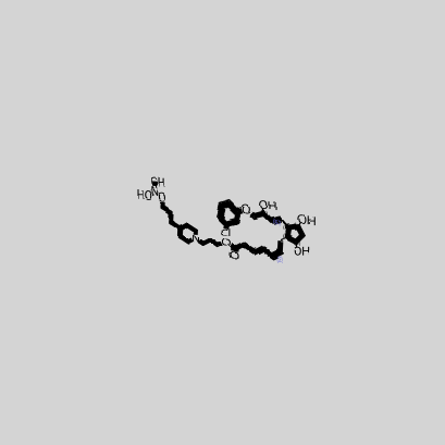 O=C(CCC/C=C\C[C@@H]1[C@@H](/C=C/[C@@H](O)COc2cccc(Cl)c2)[C@H](O)C[C@@H]1O)OCCCN1CCC(CCCON(O)O)CC1